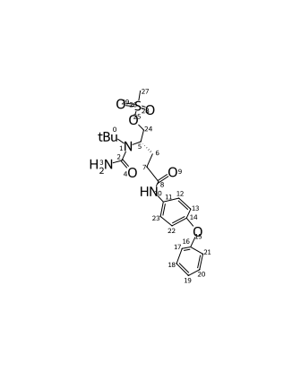 CC(C)(C)N(C(N)=O)[C@@H](CCC(=O)Nc1ccc(Oc2ccccc2)cc1)COS(C)(=O)=O